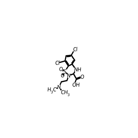 CN(C)CCN1C(C(=O)O)Nc2cc(Cl)cc(Cl)c2S1(=O)=O